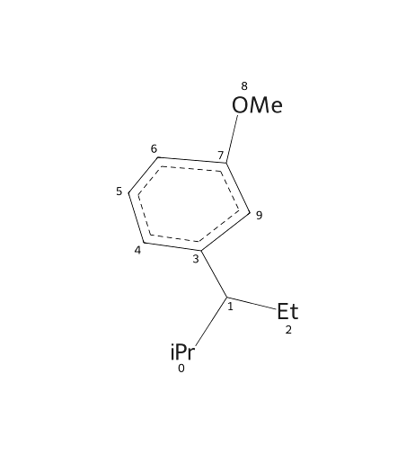 [CH2]C(C)C(CC)c1cccc(OC)c1